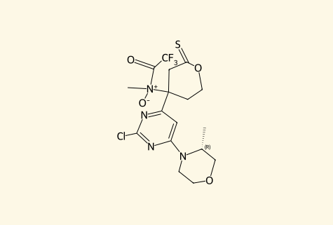 C[C@@H]1COCCN1c1cc(C2([N+](C)([O-])C(=O)C(F)(F)F)CCOC(=S)C2)nc(Cl)n1